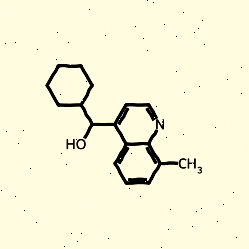 Cc1cccc2c(C(O)C3CCCCC3)ccnc12